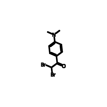 CN(C)c1ccc(C(=O)C(Br)Br)cc1